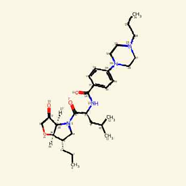 CCC[C@H]1CN(C(=O)[C@H](CC(C)C)NC(=O)c2ccc(N3CCN(CCC)CC3)cc2)[C@@H]2C(=O)CO[C@H]12